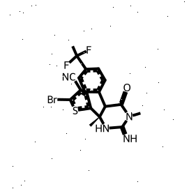 CN1C(=N)N[C@](C)(c2cc(C#N)c(Br)s2)C(c2ccc(C(C)(F)F)cc2)C1=O